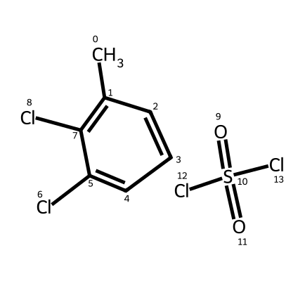 Cc1cccc(Cl)c1Cl.O=S(=O)(Cl)Cl